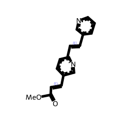 COC(=O)/C=C/c1ccc(/C=C/c2cccnc2)nc1